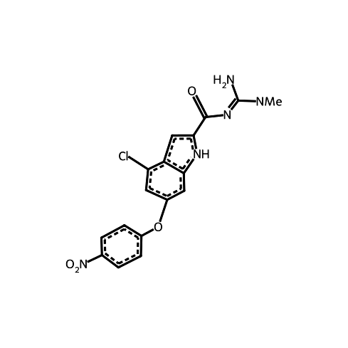 CNC(N)=NC(=O)c1cc2c(Cl)cc(Oc3ccc([N+](=O)[O-])cc3)cc2[nH]1